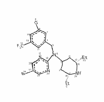 CC[C@@H]1CC(N(Cc2cc(Cl)cc(C(F)(F)F)c2)c2ncc(Br)cn2)C[C@H](CC)N1